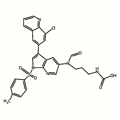 Cc1ccc(S(=O)(=O)n2cc(-c3cc(Cl)c4ncccc4c3)c3cc(N(C=O)CCCNC(=O)O)cnc32)cc1